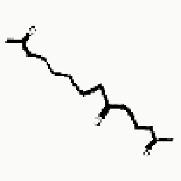 CC(=O)CCCCCCC(=O)CCCC(C)=O